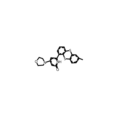 Cc1ccc2c(c1)Sc1cccc(-c3cc(N4CCOCC4)cc(=O)[nH]3)c1S2